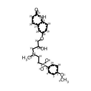 COc1ccc(S(=O)(=O)CCN(C)CC(O)COc2ccc3[nH]c(=O)ccc3c2)cc1